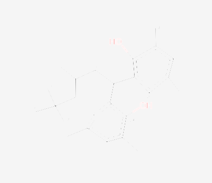 Cc1cc(C)c(O)c(C(CC(C)CC(C)(C)C)c2cc(C)cc(C)c2O)c1